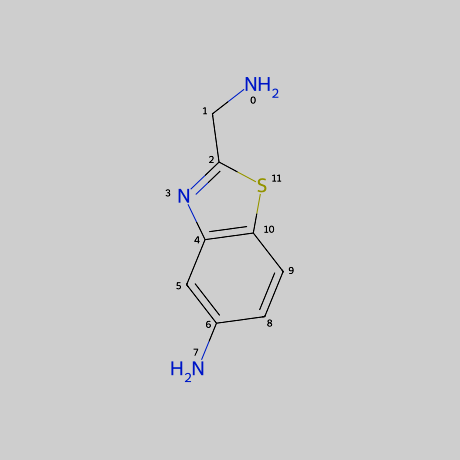 NCc1nc2cc(N)ccc2s1